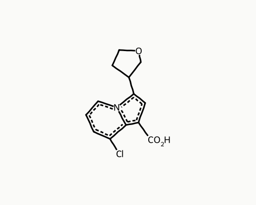 O=C(O)c1cc(C2CCOC2)n2cccc(Cl)c12